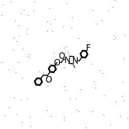 C[C@@H]1CN(Cc2ccc(F)cc2)[C@@H](C)CN1C(=O)COc1ccc(C(=O)Cc2ccccc2)cc1